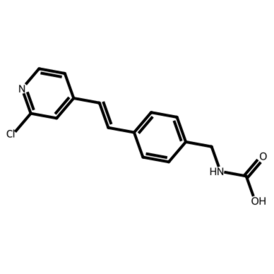 O=C(O)NCc1ccc(/C=C/c2ccnc(Cl)c2)cc1